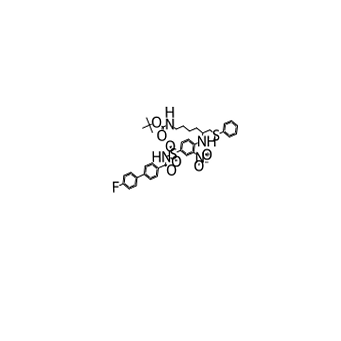 CC(C)(C)OC(=O)NCCCCC(CSc1ccccc1)Nc1ccc(S(=O)(=O)NC(=O)c2ccc(-c3ccc(F)cc3)cc2)cc1[N+](=O)[O-]